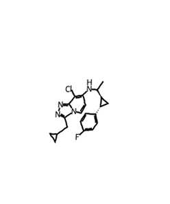 CC(Nc1ccn2c(CC3CC3)nnc2c1Cl)[C@H]1C[C@@H]1c1ccc(F)cc1